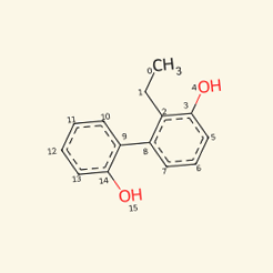 CCc1c(O)cccc1-c1ccccc1O